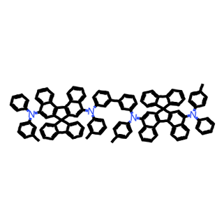 Cc1ccc(N(c2ccccc2)c2cc3c(c4ccccc24)-c2c(cc(N(c4ccc(C)cc4)c4cccc(-c5cccc(N(c6cccc(C)c6)c6cc7c(c8ccccc68)-c6c(cc(N(c8ccccc8)c8cccc(C)c8)c8ccccc68)C76c7ccccc7-c7ccccc76)c5)c4)c4ccccc24)C32c3ccccc3-c3ccccc32)cc1